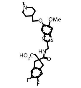 COc1cc2sc(CNC(=O)C3(CC(=O)O)Cc4cc(F)c(F)cc4C3)nc2cc1OCC1CCN(C)CC1